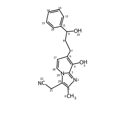 Cc1nc2c(O)c(CCC(O)c3ccccc3)ccn2c1CC#N